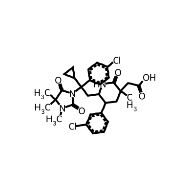 CN1C(=O)N(C(CC2NC(=O)C(C)(CC(=O)O)CC2c2cccc(Cl)c2)(c2ccc(Cl)cc2)C2CC2)C(=O)C1(C)C